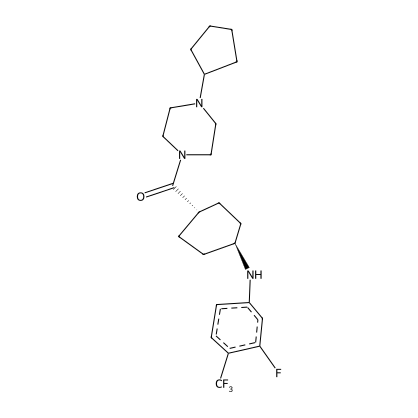 O=C([C@H]1CC[C@H](Nc2ccc(C(F)(F)F)c(F)c2)CC1)N1CCN(C2CCCC2)CC1